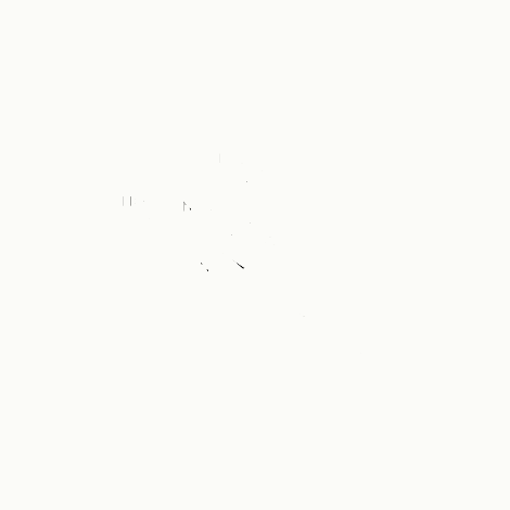 CC1(C)CC(=O)C2=C(C1)Nc1c(O)cccc1N[C@@H]2c1ccc(OCc2ccccc2)cc1F